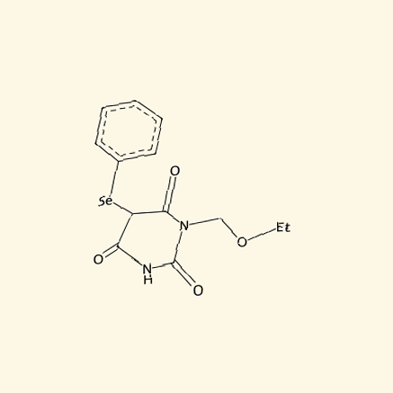 CCOCN1C(=O)NC(=O)C([Se]c2ccccc2)C1=O